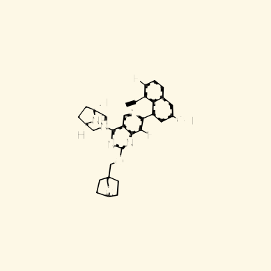 C#Cc1c(F)ccc2cc(O)cc(-c3ncc4c(N5C[C@H]6CC[C@@H](C5)N6)nc(OCC56CCC(CC5)OC6)nc4c3F)c12